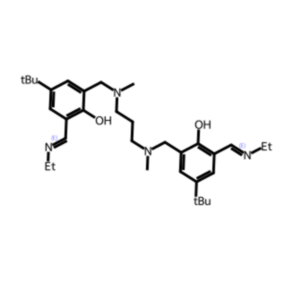 CC/N=C/c1cc(C(C)(C)C)cc(CN(C)CCCN(C)Cc2cc(C(C)(C)C)cc(/C=N/CC)c2O)c1O